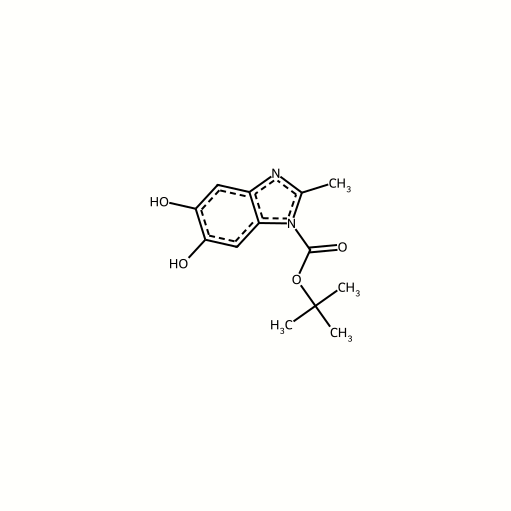 Cc1nc2cc(O)c(O)cc2n1C(=O)OC(C)(C)C